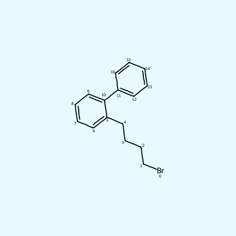 BrCCCCc1ccccc1-c1ccccc1